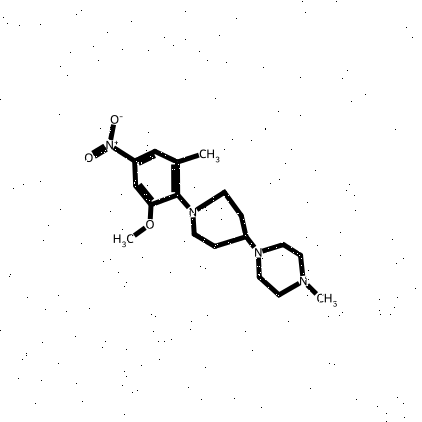 COc1cc([N+](=O)[O-])cc(C)c1N1CCC(N2CCN(C)CC2)CC1